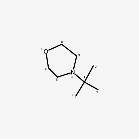 [CH2]C(C)(C)N1CCOCC1